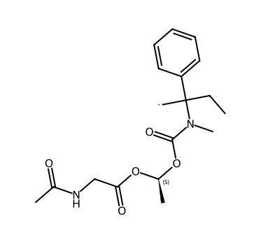 [CH2]C(CC)(c1ccccc1)N(C)C(=O)O[C@@H](C)OC(=O)CNC(C)=O